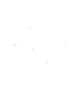 CC(=CC#N)C(=O)O.N#CC=CC(=O)O